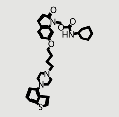 O=C(NC1CCCCC1)OCn1c(=O)ccc2ccc(OCCCCN3CCN(c4cccc5sccc45)CC3)cc21